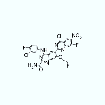 NC(=O)c1nc(Nc2ccc(F)c(Cl)c2)c2cc(-c3nc(Cl)c4cc([N+](=O)[O-])c(F)cc4n3)c(OCCF)cc2n1